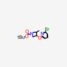 CC1CN(C(=O)OC(C)(C)C)CC1Oc1cccc(Br)n1